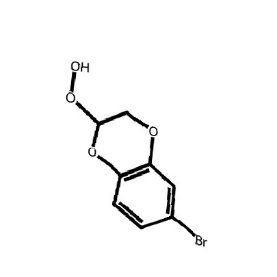 OOC1COc2cc(Br)ccc2O1